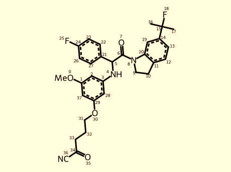 COc1cc(NC(C(=O)N2CCc3ccc(C(C)(C)F)cc32)c2ccc(F)cc2)cc(OCCCC(=O)C#N)c1